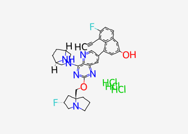 C#Cc1c(F)ccc2cc(O)cc(-c3cnc4c(N5C[C@H]6CC[C@@H](C5)N6)nc(OC[C@@]56CCCN5C[C@H](F)C6)nc4c3)c12.Cl.Cl.Cl